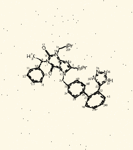 CCCc1nc2c(c(=O)n(C(C)c3ccccc3)c(=O)n2CC(C)C)n1Cc1ccc(-c2ccccc2-c2nnn[nH]2)cc1